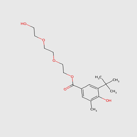 Cc1cc(C(=O)OCCOCCOCCO)cc(C(C)(C)C)c1O